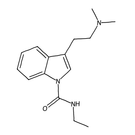 CCNC(=O)n1cc(CCN(C)C)c2ccccc21